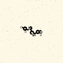 Clc1ccc(Cn2nccc2-c2ccn3nnc(-c4ccc5cn[nH]c5c4)c3c2)c(Cl)c1